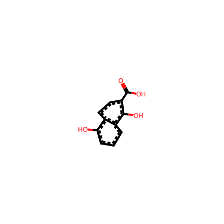 O=C(O)c1ccc2c(O)cccc2c1O